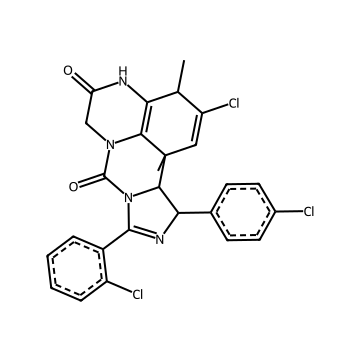 CC1C(Cl)=CC2(C)C3=C1NC(=O)CN3C(=O)N1C(c3ccccc3Cl)=NC(c3ccc(Cl)cc3)C12